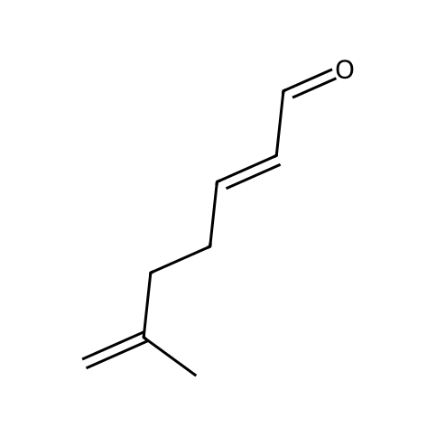 C=C(C)CCC=CC=O